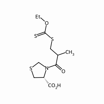 CCOC(=S)SCC(C)C(=O)N1CSC[C@H]1C(=O)O